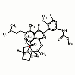 Cc1c(CCN(C)C)nc2c3c(nc(-c4cc(NC(=O)OC(C)(C)C)cc(F)c4SC(F)(F)F)c(F)c13)O[C@@H](C)[C@@H]1[C@@H]3CC[C@H](CN21)N3C(=O)OC(C)(C)C